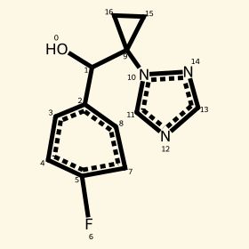 OC(c1ccc(F)cc1)C1(n2cncn2)CC1